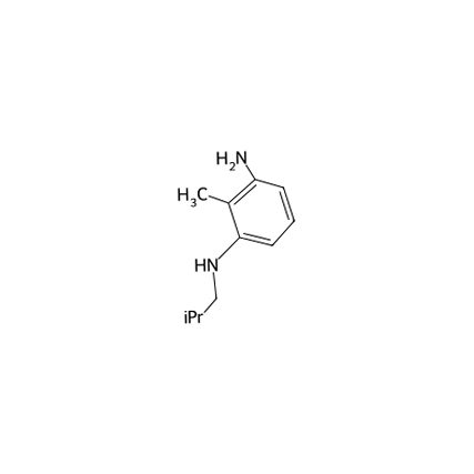 Cc1c(N)cccc1NCC(C)C